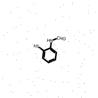 O=CNc1ccccc1S